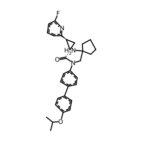 CC(C)Oc1ccc(-c2ccc(N(CC3(N)CCCC3)C(=O)[C@H]3C[C@@H]3c3cccc(F)n3)cc2)cc1